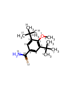 COc1c(C(C)(C)C)cc(C(N)=S)cc1C(C)(C)C